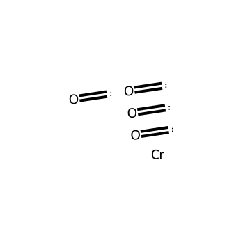 [C]=O.[C]=O.[C]=O.[C]=O.[Cr]